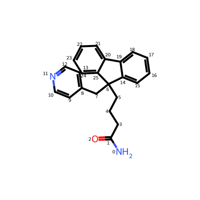 NC(=O)CCCC1(Cc2ccncc2)c2ccccc2-c2ccccc21